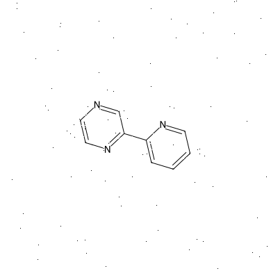 c1ccc(-c2cnccn2)nc1